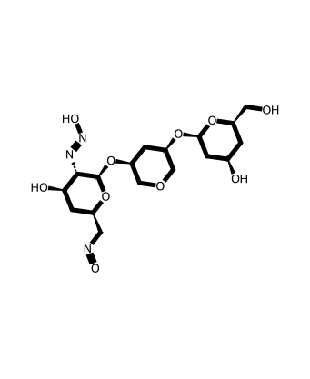 O=NC[C@H]1C[C@@H](O)[C@H](N=NO)[C@@H](O[C@@H]2COC[C@H](O[C@@H]3C[C@H](O)C[C@H](CO)O3)C2)O1